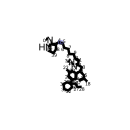 C=NC1=C(/C=C\CCCCc2cc(CC(CC(=C)C)c3cc(C)cc(C4(CCC)CCCCC4)c3)nn2C)CCCN1